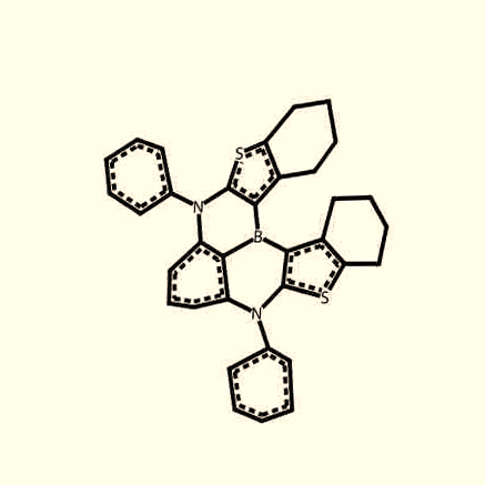 c1ccc(N2c3cccc4c3B(c3c2sc2c3CCCC2)c2c(sc3c2CCCC3)N4c2ccccc2)cc1